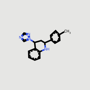 Cc1ccc(C2CC(n3cncn3)c3ccccc3N2)cc1